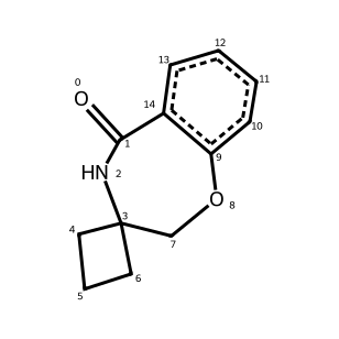 O=C1NC2(CCC2)COc2ccccc21